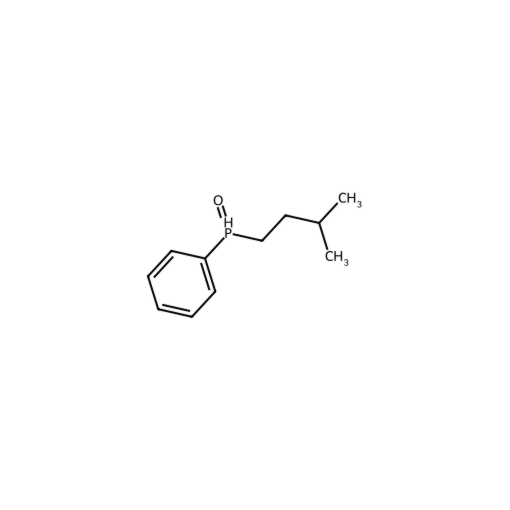 CC(C)CC[PH](=O)c1ccccc1